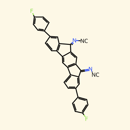 [C-]#[N+]/N=c1/c2cc(-c3ccc(F)cc3)ccc2c2cc3c(cc12)/c(=N/[N+]#[C-])c1cc(-c2ccc(F)cc2)ccc13